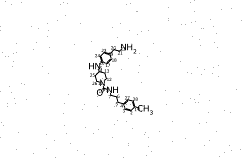 Cc1ccc(CCCNC(=O)N2CCC(Nc3ccc(CCN)cc3)CC2)cc1